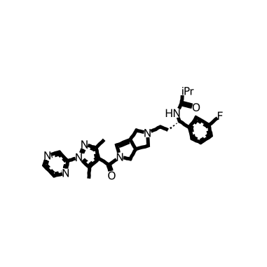 Cc1nn(-c2cnccn2)c(C)c1C(=O)N1C=C2CN(CC[C@H](NC(=O)C(C)C)c3cccc(F)c3)CC2C1